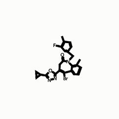 Cc1ccc(CN2C(=O)CC(c3nnc(C4CC4)o3)=C(Br)c3cccc(C)c32)cc1F